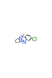 CC1(C)c2ccc(Cl)cc2N=C2C3CCC(C3)N21